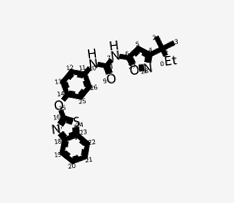 CCC(C)(C)c1cc(NC(=O)Nc2ccc(Oc3nc4ccccc4s3)cc2)on1